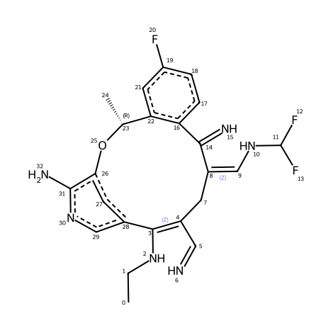 CCN/C1=C(\C=N)C/C(=C/NC(F)F)C(=N)c2ccc(F)cc2[C@@H](C)Oc2cc1cnc2N